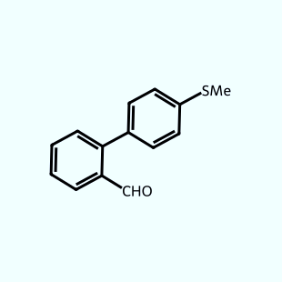 CSc1ccc(-c2ccccc2C=O)cc1